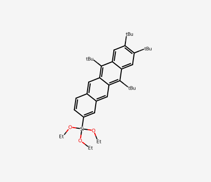 CCO[Si](OCC)(OCC)c1ccc2cc3c(C(C)(C)C)c4cc(C(C)(C)C)c(C(C)(C)C)cc4c(C(C)(C)C)c3cc2c1